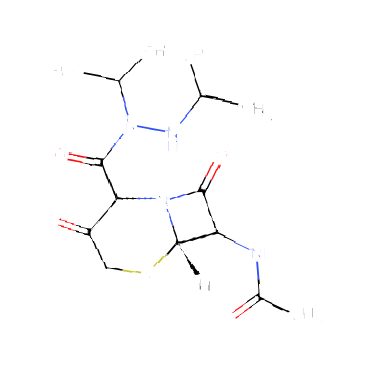 CC(=O)NC1C(=O)N2C(C(=O)N(NC(C)C)C(C)C)C(=O)CS[C@@H]12